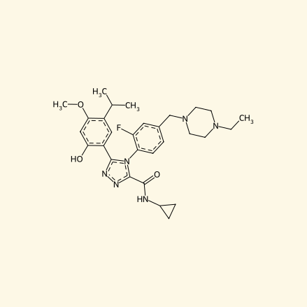 CCN1CCN(Cc2ccc(-n3c(C(=O)NC4CC4)nnc3-c3cc(C(C)C)c(OC)cc3O)c(F)c2)CC1